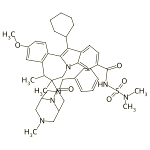 COc1ccc2c(c1)C(C)C(C)(C(=O)N1C3CN(C)CC1CN(Cc1ccccc1)C3)Cn1c-2c(C2CCCCC2)c2ccc(C(=O)NS(=O)(=O)N(C)C)cc21